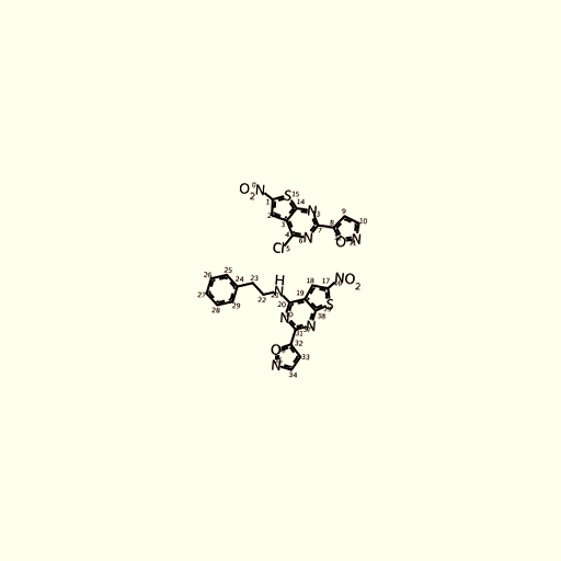 O=[N+]([O-])c1cc2c(Cl)nc(-c3ccno3)nc2s1.O=[N+]([O-])c1cc2c(NCCc3ccccc3)nc(-c3ccno3)nc2s1